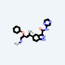 C=N/C=C(\C=C(/C)c1ccc2[nH]nc(C(=O)Nc3cnccn3)c2c1)Oc1ccccc1